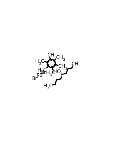 CCCCP(O)CCCC.Cc1c(C)c(C)c(C)c(C)c1C.[Br][Ru][Br]